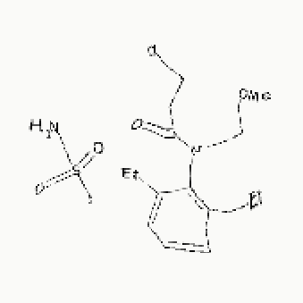 CCc1cccc(CC)c1N(COC)C(=O)CCl.CS(N)(=O)=O